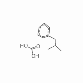 CC(C)Cc1ccccc1.O=C(O)O